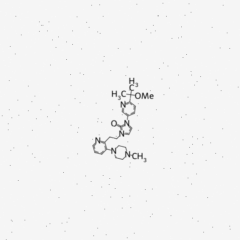 COC(C)(C)c1ccc(-n2ccn(CCc3ncccc3N3CCN(C)CC3)c2=O)cn1